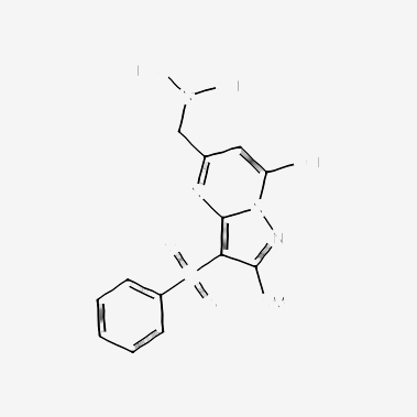 CSc1nn2c(O)cc(CN(C)C)nc2c1S(=O)(=O)c1ccccc1